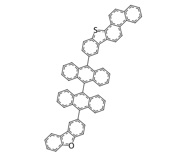 c1ccc2c(c1)ccc1c2ccc2c3cc(-c4c5ccccc5c(-c5c6ccccc6c(-c6ccc7oc8ccccc8c7c6)c6ccccc56)c5ccccc45)ccc3sc21